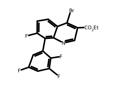 CCOC(=O)c1cnc2c(-c3cc(F)cc(F)c3F)c(F)ccc2c1Br